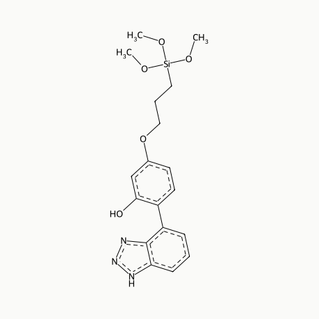 CO[Si](CCCOc1ccc(-c2cccc3[nH]nnc23)c(O)c1)(OC)OC